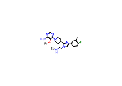 CCNCCn1cc(-c2ccc(F)c(C)c2)nc1C1CCN(c2ncnc(N)c2OC(C)C)CC1